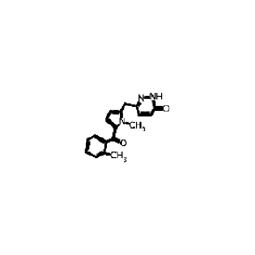 Cc1ccccc1C(=O)c1ccc(Cc2ccc(=O)[nH]n2)n1C